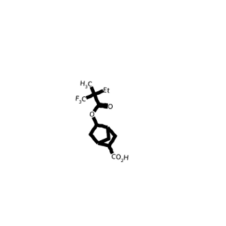 CCC(C)(C(=O)OC1CC2CC1CC2C(=O)O)C(F)(F)F